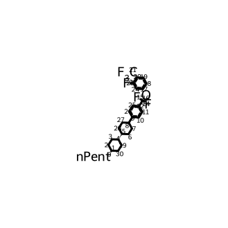 CCCCC[C@H]1CC[C@H](C2CCC(c3ccc(C(F)(F)Oc4ccc(C(F)(F)F)c(F)c4)cc3)CC2)CC1